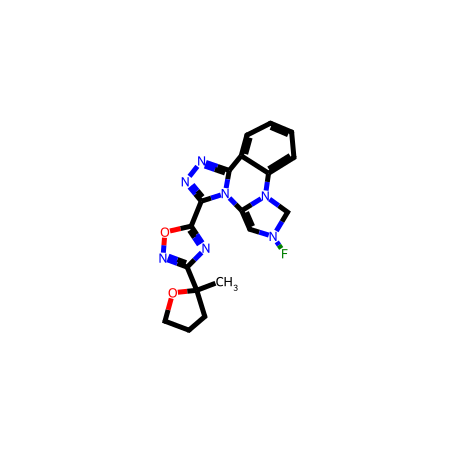 CC1(c2noc(-c3nnc4n3C3=CN(F)CN3c3ccccc3-4)n2)CCCO1